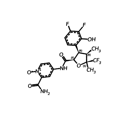 C[C@@H]1[C@H](c2ccc(F)c(F)c2O)[C@H](C(=O)Nc2cc[n+]([O-])c(C(N)=O)c2)O[C@]1(C)C(F)(F)F